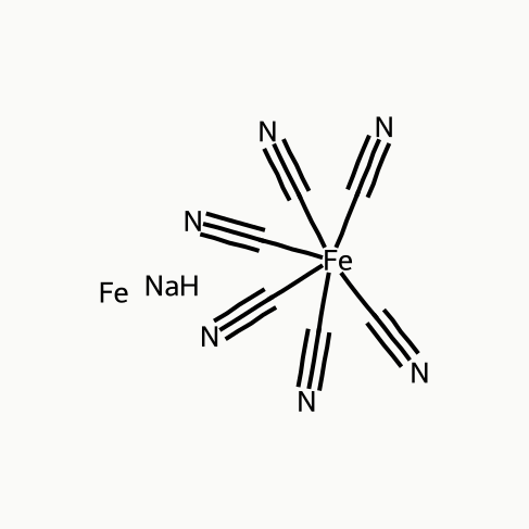 N#[C][Fe]([C]#N)([C]#N)([C]#N)([C]#N)[C]#N.[Fe].[NaH]